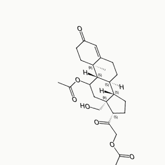 CC(=O)OCC(=O)[C@H]1CC[C@H]2[C@@H]3CCC4=CC(=O)CC[C@]4(C)[C@H]3C(OC(C)=O)C[C@]12CO